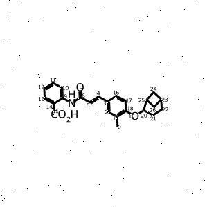 Cc1cc(/C=C/C(=O)Nc2ccccc2C(=O)O)ccc1OC1CCC2CC1C2